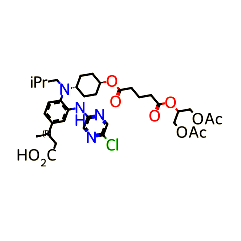 CC(=O)OCC(COC(C)=O)OC(=O)CCCC(=O)O[C@H]1CC[C@H](N(CC(C)C)c2ccc([C@H](C)CC(=O)O)cc2Nc2cnc(Cl)cn2)CC1